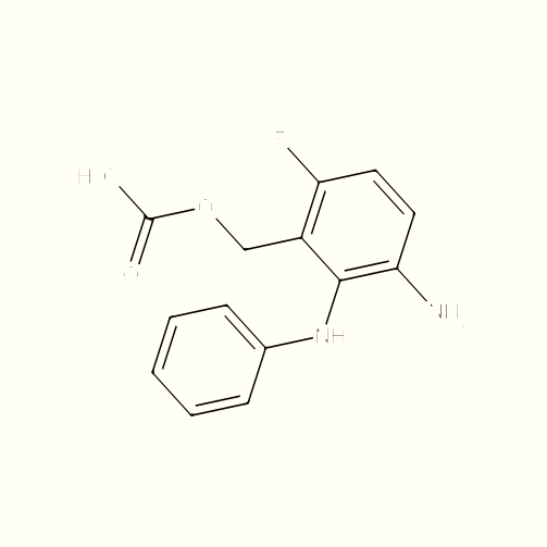 CC(=O)OCc1c(F)ccc(N)c1Nc1ccccc1